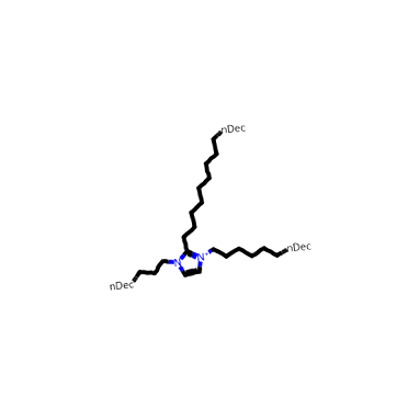 CCCCCCCCCCCCCCCCCCCc1n(CCCCCCCCCCCCC)cc[n+]1CCCCCCCCCCCCCCCC